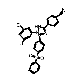 N#Cc1ccc(C2=NN(c3ccc(S(=O)(=O)c4ccccc4)cc3)N(c3cc(Cl)cc(Cl)c3)N2)cc1